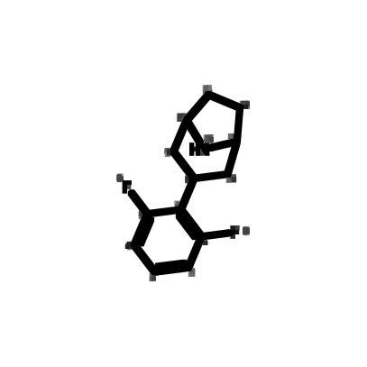 Fc1cccc(F)c1C1CC2CCC(C1)N2